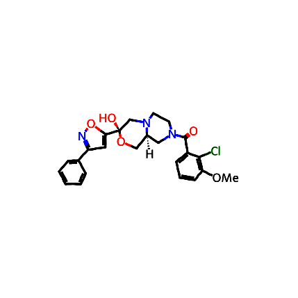 COc1cccc(C(=O)N2CCN3C[C@@](O)(c4cc(-c5ccccc5)no4)OC[C@@H]3C2)c1Cl